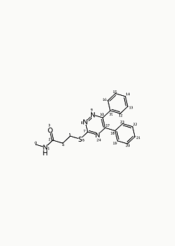 CNC(=O)CCSc1nnc(-c2ccccc2)c(-c2ccccc2)n1